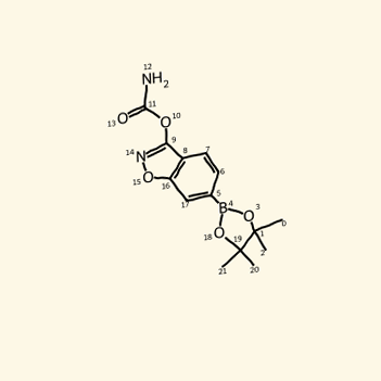 CC1(C)OB(c2ccc3c(OC(N)=O)noc3c2)OC1(C)C